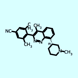 Cc1cc(C#N)cc(C)c1-c1nnc2c([C@H]3CCCN(C)C3)cccc2c1C